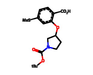 CSc1ccc(C(=O)O)c(OC2CCN(C(=O)OC(C)(C)C)C2)c1